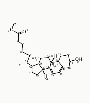 COC(=O)CCCC[C@@H](C)[C@H]1CC[C@H]2C3=CC=C4CC(O)CC[C@]4(C)[C@H]3CC[C@]12C